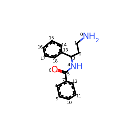 NCCC(NC(=O)c1ccccc1)c1ccccc1